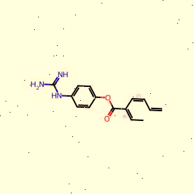 C=C/C=C\C(=C/C)C(=O)Oc1ccc(NC(=N)N)cc1